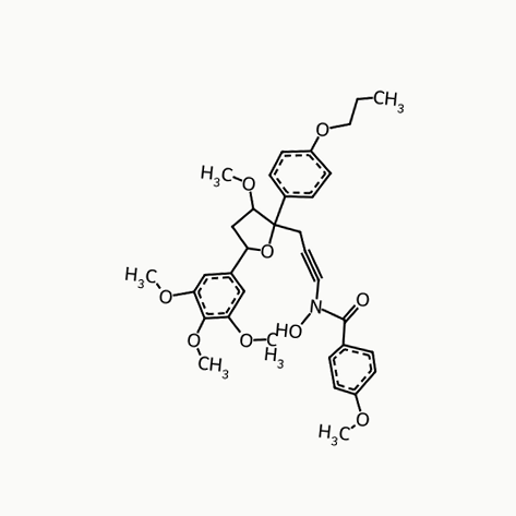 CCCOc1ccc(C2(CC#CN(O)C(=O)c3ccc(OC)cc3)OC(c3cc(OC)c(OC)c(OC)c3)CC2OC)cc1